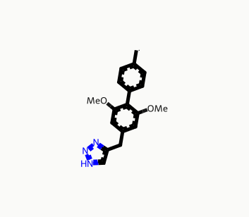 [CH2]c1ccc(-c2c(OC)cc(Cc3c[nH]nn3)cc2OC)cc1